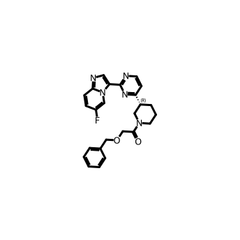 O=C(COCc1ccccc1)N1CCC[C@@H](c2ccnc(-c3cnc4ccc(F)cn34)n2)C1